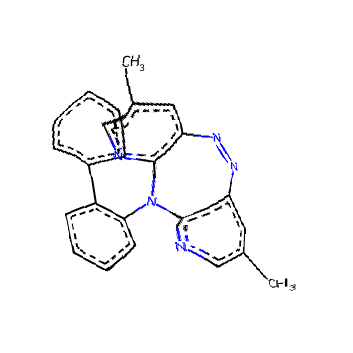 Cc1cnc2c(c1)N=Nc1cc(C)cnc1N2c1ccccc1-c1ccccc1